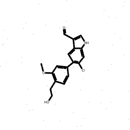 COc1cc(-c2cc3c(C=O)c[nH]c3cc2Cl)ccc1CCO